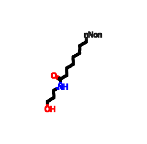 CCCCCCCCCCCCCCCCC(=O)NCCCO